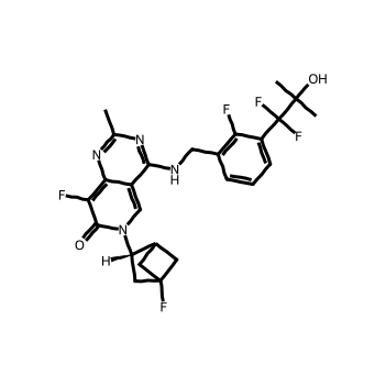 Cc1nc(NCc2cccc(C(F)(F)C(C)(C)O)c2F)c2cn([C@H]3CC4(F)CC3C4)c(=O)c(F)c2n1